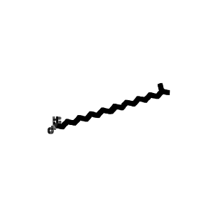 CC(C)CCCCCCCC=CCCCCCCCC[NH2+][O-]